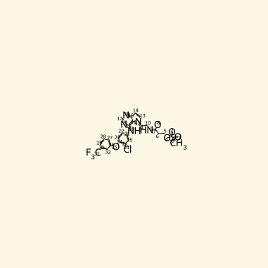 CS(=O)(=O)OCCC(=O)NCCn1ccc2ncnc(Nc3ccc(Oc4cccc(C(F)(F)F)c4)c(Cl)c3)c21